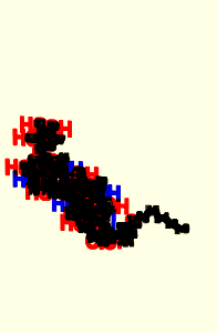 CCCCCC/C=C\CCCOc1cccc(C(=O)N[C@@H]2C(O[C@H]3C(O)C(NC(C)=O)[C@H](OC4C(CO)O[C@@H](O[C@H]5C(O)C(NC(C)=O)C(OC6C(CO[C@@H]7OC(C)C(O)[C@H](O)[C@H]7O)OC(O)[C@@H](NC(C)=O)[C@H]6O)O[C@H]5CO)[C@@H](NC(C)=O)[C@H]4O)O[C@H]3CO)OC(CO)[C@@H](O)C2O)c1